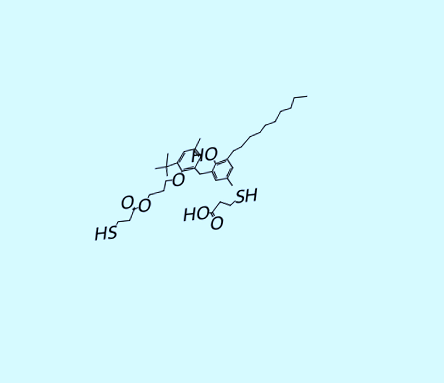 CCCCCCCCCCc1cc(C)cc(Cc2cc(C)cc(C(C)(C)C)c2OCCCOC(=O)CCS)c1O.O=C(O)CCS